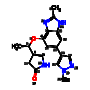 Cc1nc2c(O[C@H](C)[C@H]3CNC(=O)C3)cc(-c3cnn(C(C)(C)C)c3)cc2[nH]1